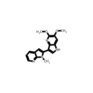 COc1cc2[nH]cc(-c3cc4cccnc4n3C)c2nc1OC